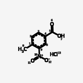 Cc1ccc(C(=O)O)cc1[N+](=O)[O-].Cl